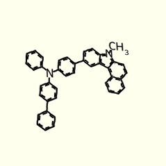 Cn1c2ccc(-c3ccc(N(c4ccccc4)c4ccc(-c5ccccc5)cc4)cc3)cc2c2c3ccccc3ccc21